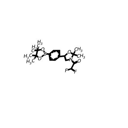 CC1(C)OC(c2ccc(B3OC(C)(C)C(C)(C)O3)cc2)CN1C(=O)C(F)F